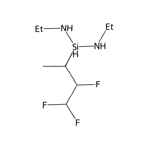 CCN[SiH](NCC)C(C)C(F)C(F)F